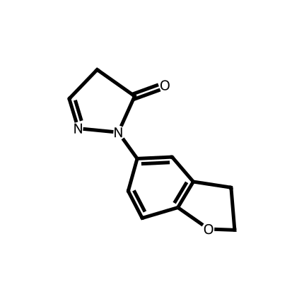 O=C1CC=NN1c1ccc2c(c1)CCO2